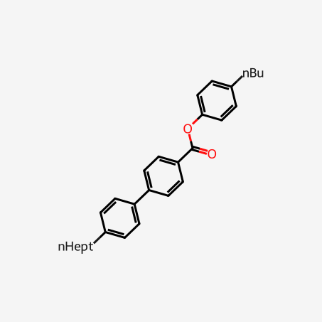 CCCCCCCc1ccc(-c2ccc(C(=O)Oc3ccc(CCCC)cc3)cc2)cc1